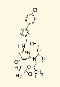 C[C@H](Nc1nc(Cl)cc(N2C(=O)OC[C@@H]2[C@@H](C)OC(C)(C)C)n1)c1nnc(-c2ccc(Cl)cc2)s1